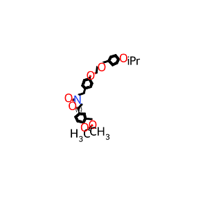 CC(C)Oc1ccc(COCCOc2ccc(CCN3C[C@@H](c4ccc5c(c4)COC(C)(C)O5)OC3=O)cc2)cc1